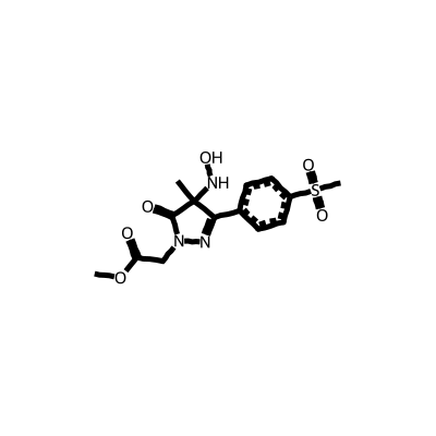 COC(=O)CN1N=C(c2ccc(S(C)(=O)=O)cc2)C(C)(NO)C1=O